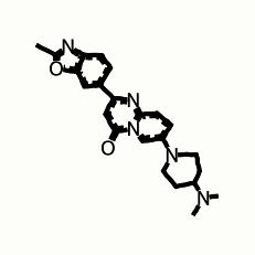 Cc1nc2ccc(-c3cc(=O)n4cc(N5CCC(N(C)C)CC5)ccc4n3)cc2o1